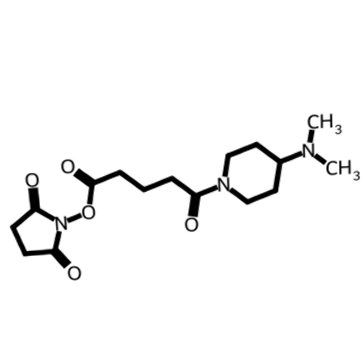 CN(C)C1CCN(C(=O)CCCC(=O)ON2C(=O)CCC2=O)CC1